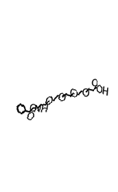 O=C(O)CCOCCOCCOCCOCCNOC(=O)c1ccccc1